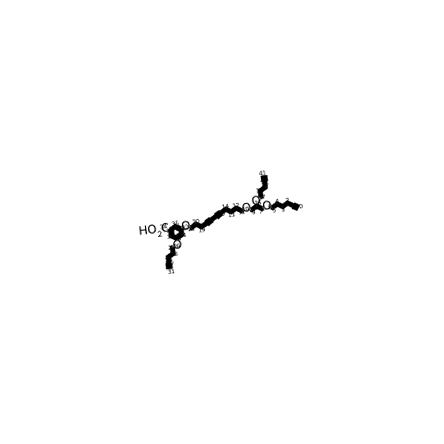 C#CCCCCOCC(COCCCCC#CC#CCCCOc1cc(OCCCC#C)cc(C(=O)O)c1)OCCCC#C